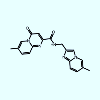 Cc1ccc2nc(CNC(=O)c3cc(=O)n4cc(C)ccc4n3)cn2c1